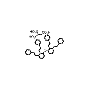 C(=Cc1cccc(Oc2cccc(C=Cc3ccccc3)c2C=Cc2ccccc2)c1C=Cc1ccccc1)c1ccccc1.O=C(O)CC(C(=O)O)S(=O)(=O)O